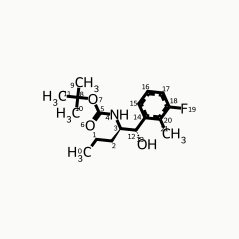 CCC[C@@H](NC(=O)OC(C)(C)C)[C@@H](O)c1cccc(F)c1C